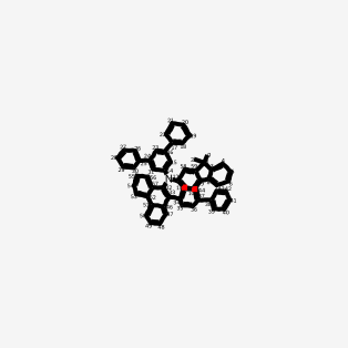 CC1(C)c2ccccc2-c2ccc(N(c3cc(-c4ccccc4)cc(-c4ccccc4)c3)c3c(-c4ccc(-c5ccccc5)cc4)c4ccccc4c4ccccc34)cc21